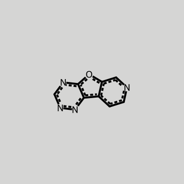 c1cc2c(cn1)oc1ncnnc12